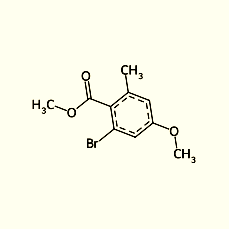 COC(=O)c1c(C)cc(OC)cc1Br